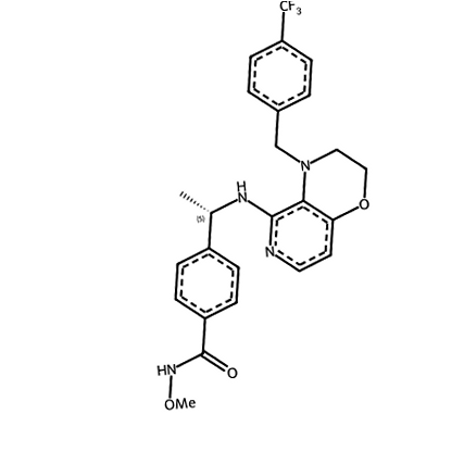 CONC(=O)c1ccc([C@H](C)Nc2nccc3c2N(Cc2ccc(C(F)(F)F)cc2)CCO3)cc1